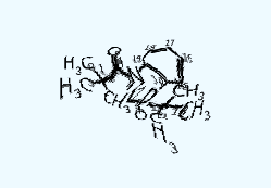 CC(C)(C)C(=O)N1CP(=O)(C(C)(C)C)c2[c]cccc21